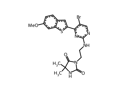 COc1ccc2cc(-c3nc(NCCN4C(=O)NC(C)(C)C4=O)ncc3Br)sc2c1